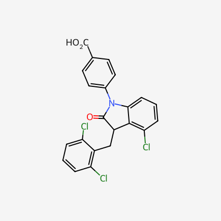 O=C(O)c1ccc(N2C(=O)C(Cc3c(Cl)cccc3Cl)c3c(Cl)cccc32)cc1